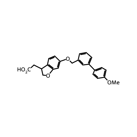 COc1ccc(-c2cccc(COc3ccc4c(c3)OCC4CC(=O)O)c2)cc1